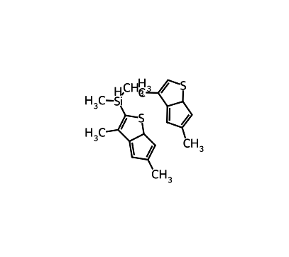 CC1=CC2SC([SiH](C)C)=C(C)C2=C1.CC1=CC2SC=C(C)C2=C1